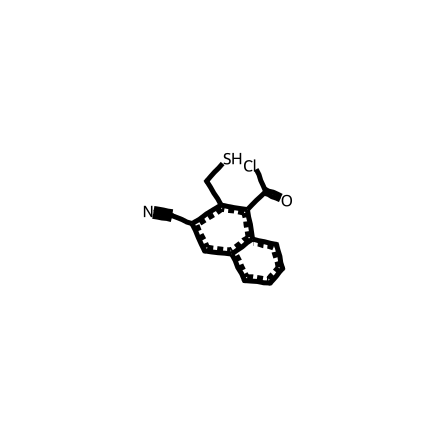 N#Cc1cc2ccccc2c(C(=O)Cl)c1CS